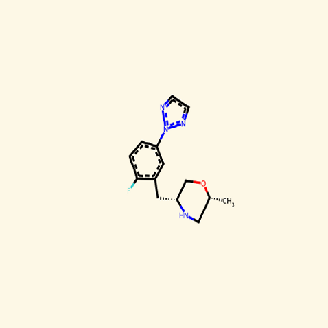 C[C@@H]1CN[C@H](Cc2cc(-n3nccn3)ccc2F)CO1